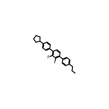 CCCc1ccc(-c2ccc(-c3ccc(C4CCCC4)cc3)c(F)c2F)cc1